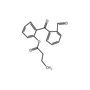 CCCC(=O)Oc1ccccc1C(=O)c1ccccc1[C]=O